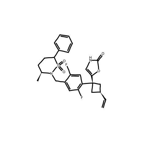 C=C[C@H]1C[C@](c2c[nH]c(=O)o2)(c2cc(F)c(CN3[C@@H](C)CCC(c4ccccc4)S3(=O)=O)cc2F)C1